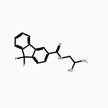 CC(O)CNC(=O)c1ccc2c(c1)-c1ccccc1C2(F)F